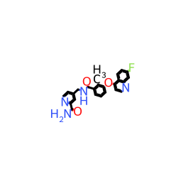 Cc1c(Oc2ccnc3cc(F)ccc23)cccc1C(=O)NCc1ccnc(C(N)=O)c1